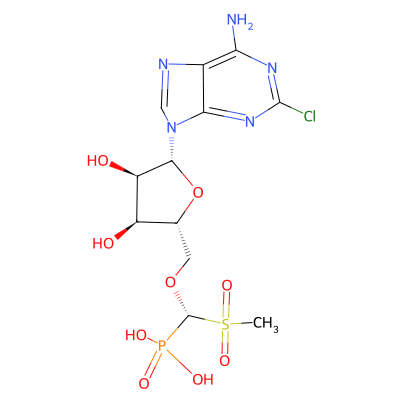 CS(=O)(=O)[C@@H](OC[C@H]1O[C@@H](n2cnc3c(N)nc(Cl)nc32)[C@H](O)[C@@H]1O)P(=O)(O)O